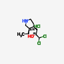 CC[C@H]1CNCC[C@H]1C[C@@H](O)C(Cl)Cl.Cl